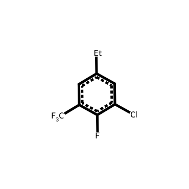 CCc1cc(Cl)c(F)c(C(F)(F)F)c1